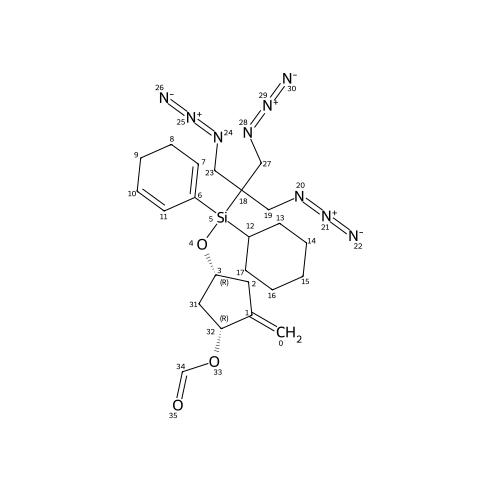 C=C1C[C@@H](O[Si](C2=CCCC=C2)(C2CCCCC2)C(CN=[N+]=[N-])(CN=[N+]=[N-])CN=[N+]=[N-])C[C@H]1OC=O